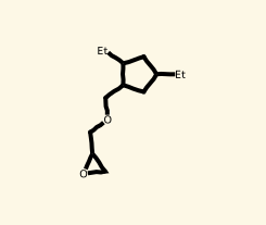 CCC1CC(CC)C(COCC2CO2)C1